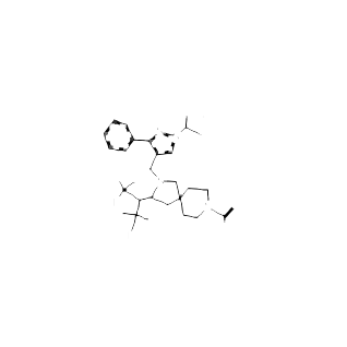 CC(C)n1cc(CN2CC3(CCN(C(=O)O)CC3)CC2C(C(F)(F)F)C(F)(F)F)c(-c2ccccc2)n1